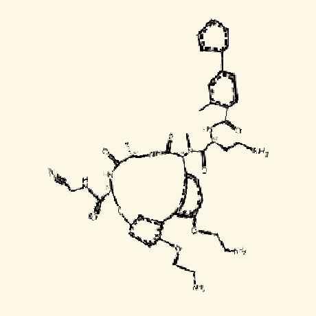 Cc1cc(-c2ccccc2)ccc1C(=O)N[C@@H](CCN)C(=O)N(C)[C@@H]1C(=O)N[C@@H](C)C(=O)N[C@H](C(=O)NCC#N)Cc2ccc(OCCN)c(c2)-c2cc1ccc2OCCN